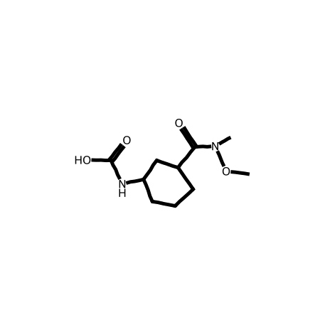 CON(C)C(=O)C1CCCC(NC(=O)O)C1